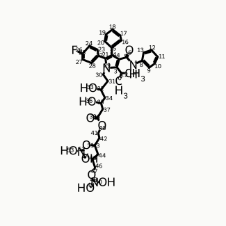 CC(C)c1c(C(=O)Nc2ccccc2)c(-c2ccccc2)c(-c2ccc(F)cc2)n1CCC(O)CC(O)CC(=O)OCCC(CCCON(O)O)ON(O)O